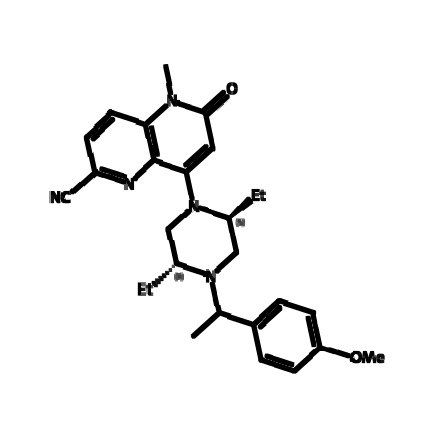 CC[C@H]1CN(C(C)c2ccc(OC)cc2)[C@H](CC)CN1c1cc(=O)n(C)c2ccc(C#N)nc12